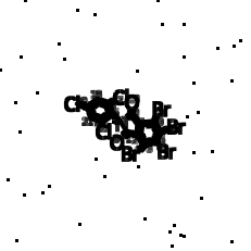 O=C1c2c(Br)c(Br)c(Br)c(Br)c2C(=O)N1c1c(Cl)cc(Cl)cc1Cl